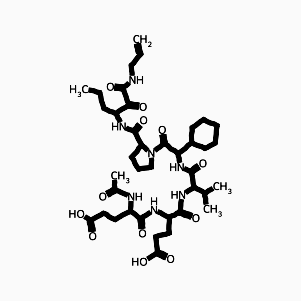 C=CCNC(=O)C(=O)C(CCC)NC(=O)C1CCCN1C(=O)C(NC(=O)C(NC(=O)C(CCC(=O)O)NC(=O)C(CCC(=O)O)NC(C)=O)C(C)C)C1CCCCC1